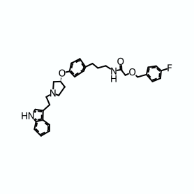 O=C(COCc1ccc(F)cc1)NCCCc1ccc(O[C@@H]2CCN(CCc3c[nH]c4ccccc34)C2)cc1